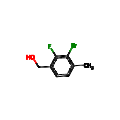 Cc1ccc(CO)c(F)c1Br